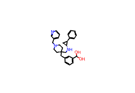 OC(O)c1cccc(CC2(CN[C@@H]3CC3c3ccccc3)CCN(Cc3cccnc3)CC2)c1